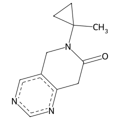 CC1(N2Cc3cncnc3CC2=O)CC1